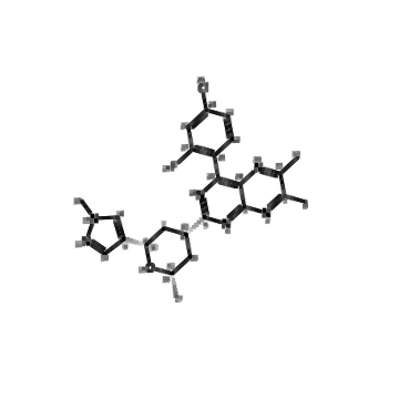 Cc1nc2nc([C@H]3C[C@@H](c4cnn(C)c4)O[C@@H](C)C3)nc(-c3ccc(Cl)cc3F)c2nc1C